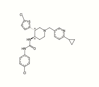 O=C(Nc1ccc(Cl)cc1)N[C@@H]1CCN(Cc2ccc(C3CC3)nc2)C[C@H]1c1ccc(Cl)s1